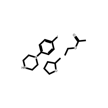 CC1CCCO1.CCOC(C)=O.Ic1ccc(N2CCNCC2)cc1